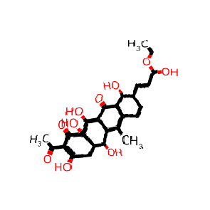 CCOC(O)CCC1CCC2C(C)C3C(O)C4CC(O)=C(C(C)=O)C(=O)C4(O)C(O)C3C(=O)C2C1O